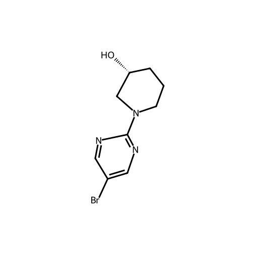 O[C@@H]1CCCN(c2ncc(Br)cn2)C1